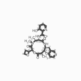 C[C@@H]1[C@H](NC(=O)c2ncccc2O)C(=O)N[C@@H](Cc2cccnc2)[C@@H](O)[C@@H](C)C(=O)OC(C2CCO2)C(=O)N1C